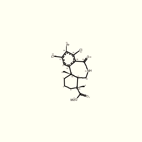 COC(=O)[C@]1(C)CCC[C@]2(C)c3cc(Cl)c(C(C)C)c(Cl)c3C(=O)NCC12